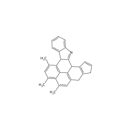 Cc1cc(C)c2c(C)cc3c4c2c1C1C(=Nc2ccccc21)C4C1=C(CC=C1)C3